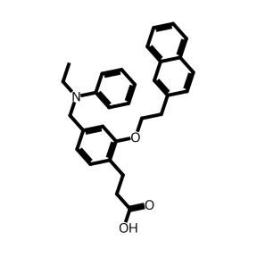 CCN(Cc1ccc(CCC(=O)O)c(OCCc2ccc3ccccc3c2)c1)c1ccccc1